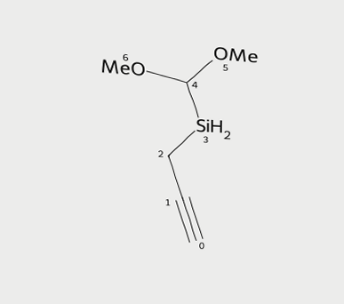 C#CC[SiH2]C(OC)OC